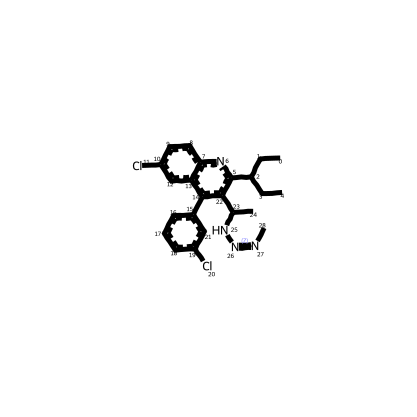 CCC(CC)c1nc2ccc(Cl)cc2c(-c2cccc(Cl)c2)c1C(C)N/N=N\C